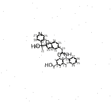 Cc1cc(CO)ccc1C(NC(=O)Cc1ccc2oc(C(C)(O)c3ccncc3)cc2c1)c1ccccc1